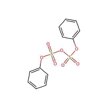 O=S(=O)(Oc1ccccc1)OS(=O)(=O)Oc1ccccc1